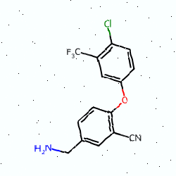 N#Cc1cc(CN)ccc1Oc1ccc(Cl)c(C(F)(F)F)c1